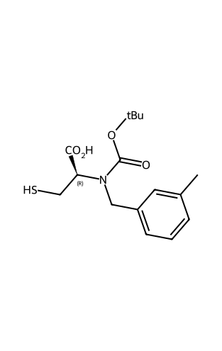 Cc1cccc(CN(C(=O)OC(C)(C)C)[C@@H](CS)C(=O)O)c1